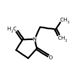 C=C(C)CN1C(=C)CCC1=O